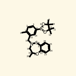 Cc1ccc(B2OC(C)(C)C(C)(C)O2)cc1CN1CC(C)Oc2ccccc2S1